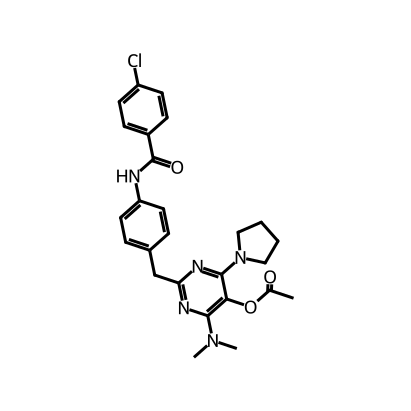 CC(=O)Oc1c(N(C)C)nc(Cc2ccc(NC(=O)c3ccc(Cl)cc3)cc2)nc1N1CCCC1